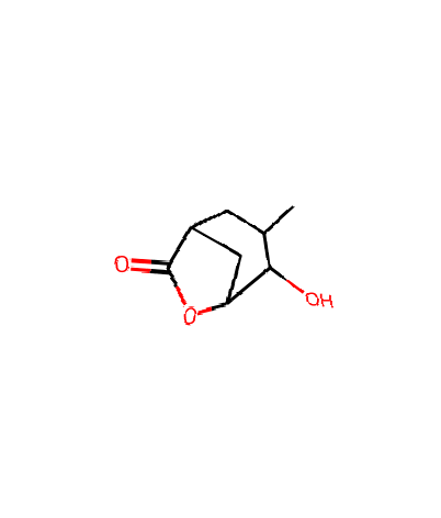 CC1CC2CC(OC2=O)C1O